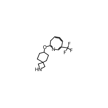 FC(F)(F)/C1=C/N=C(/OC2CCC3(CC2)CNC3)CC=C=C1